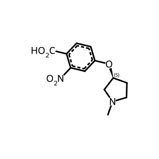 CN1CC[C@H](Oc2ccc(C(=O)O)c([N+](=O)[O-])c2)C1